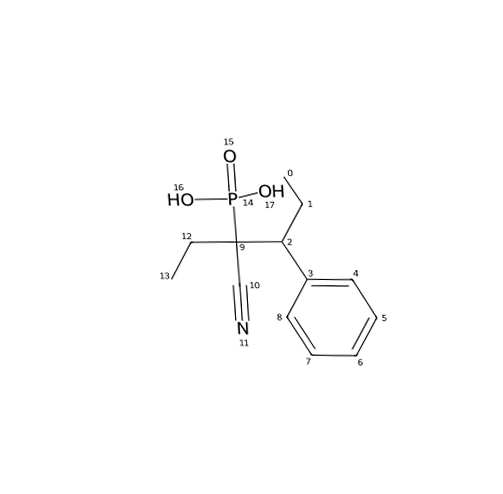 CCC(c1ccccc1)C(C#N)(CC)P(=O)(O)O